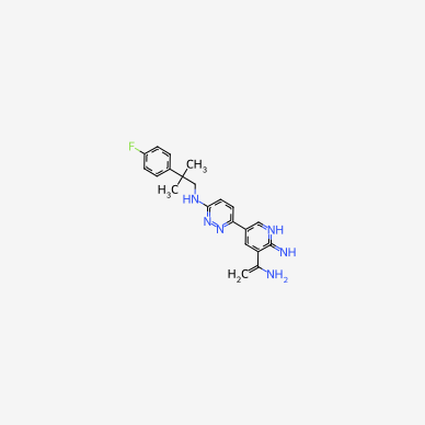 C=C(N)c1cc(-c2ccc(NCC(C)(C)c3ccc(F)cc3)nn2)c[nH]c1=N